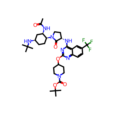 CC(=O)N[C@@H]1C[C@H](NC(C)(C)C)CC[C@@H]1N1CC[C@H](Nc2nc(OC3CCN(C(=O)OC(C)(C)C)CC3)nc3ccc(C(F)(F)F)cc23)C1=O